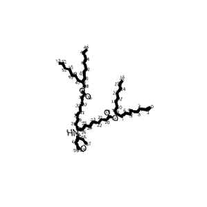 CCCCCCCCC(CCCCCCCC)OC(=O)CCCCCCCC(CCCCCCCC(=O)OCC(CCCCCCC)CCCCCCC)NC1CCOCC1